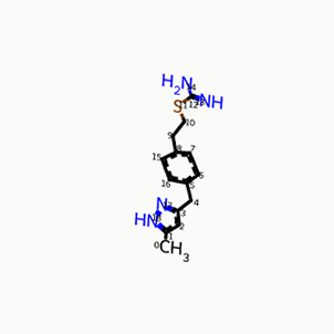 Cc1cc(Cc2ccc(CCSC(=N)N)cc2)n[nH]1